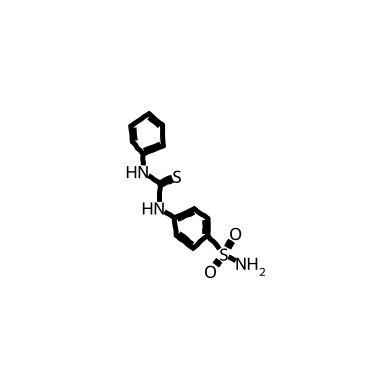 NS(=O)(=O)c1ccc(NC(=S)Nc2ccccc2)cc1